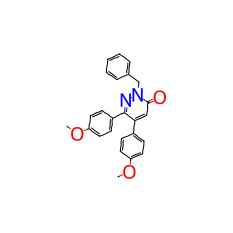 COc1ccc(-c2cc(=O)n(Cc3ccccc3)nc2-c2ccc(OC)cc2)cc1